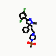 CC(=O)N1N=C(c2cc(F)ccc2F)C[C@@]1(CCCN1CCN(S(C)(=O)=O)CC1)c1ccccc1